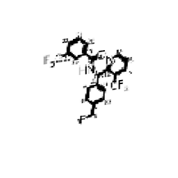 O=C(N[C@@H](c1ccc(CF)cc1)c1ncccc1C(F)(F)F)c1cccc(C(F)(F)F)c1